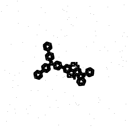 Cc1cc(-c2ccc(N(c3ccc(-c4ccccc4)cc3)c3ccc(-c4ccccc4)cc3)cc2)cc(C)c1-c1ccc2c(c1)c1ccccc1n2-c1ccccc1